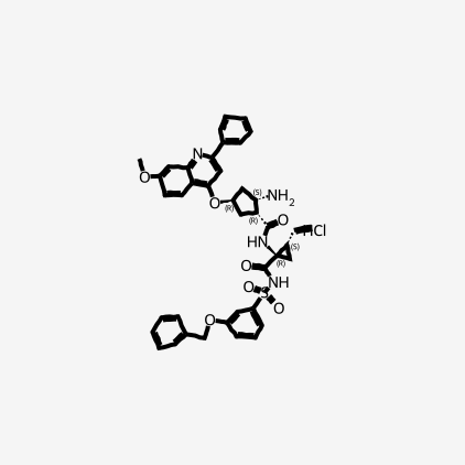 C=C[C@@H]1C[C@]1(NC(=O)[C@@H]1C[C@@H](Oc2cc(-c3ccccc3)nc3cc(OC)ccc23)C[C@@H]1N)C(=O)NS(=O)(=O)c1cccc(OCc2ccccc2)c1.Cl